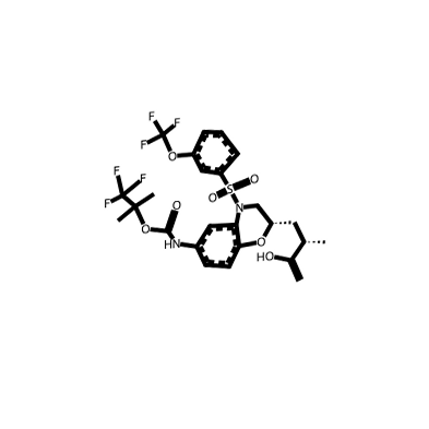 C=C(O)[C@@H](C)C[C@H]1CN(S(=O)(=O)c2cccc(OC(F)(F)F)c2)c2cc(NC(=O)OC(C)(C)C(F)(F)F)ccc2O1